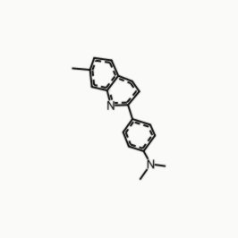 Cc1ccc2ccc(-c3ccc(N(C)C)cc3)nc2c1